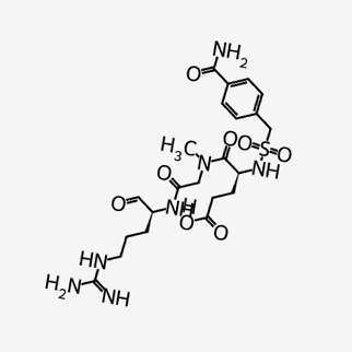 CN(CC(=O)N[C@H](C=O)CCCNC(=N)N)C(=O)[C@H](CCC(=O)O)NS(=O)(=O)Cc1ccc(C(N)=O)cc1